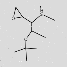 CC(OC(C)(C)C)C(C1CO1)[SiH](C)C